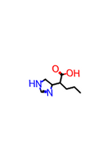 CCCC(C(=O)O)C1CNC=N1